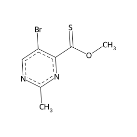 COC(=S)c1nc(C)ncc1Br